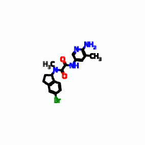 Cc1cc(NC(=O)C(=O)N(C)C2CCc3cc(Br)ccc32)cnc1N